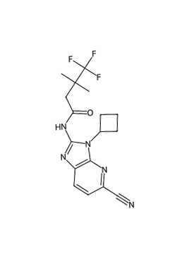 CC(C)(CC(=O)Nc1nc2ccc(C#N)nc2n1C1CCC1)C(F)(F)F